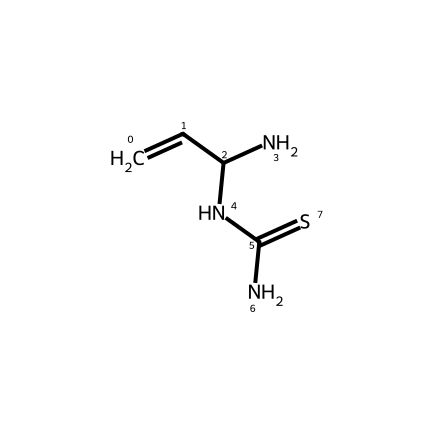 C=CC(N)NC(N)=S